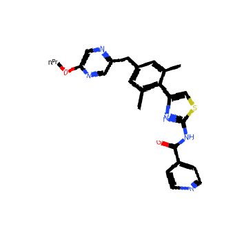 CCCOc1cnc(Cc2cc(C)c(-c3csc(NC(=O)c4ccncc4)n3)c(C)c2)cn1